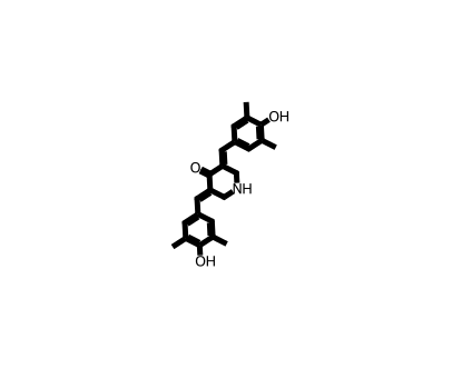 Cc1cc(C=C2CNCC(=Cc3cc(C)c(O)c(C)c3)C2=O)cc(C)c1O